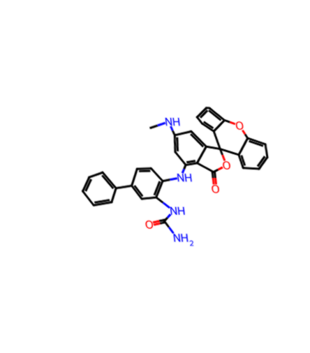 CNc1cc(Nc2ccc(-c3ccccc3)cc2NC(N)=O)c2c(c1)C1(OC2=O)c2ccccc2Oc2ccccc21